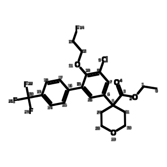 CCOC(=O)C1(c2cc(Cl)c(OCCF)c(-c3ccc(C(F)(F)F)cc3)c2)CCOCC1